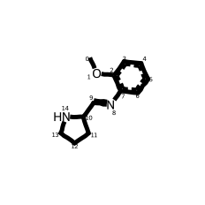 COc1ccccc1N=CC1CCCN1